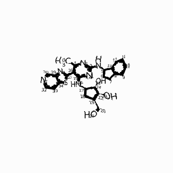 Cc1nc(N[C@@H]2CCc3ccccc32)nc(N[C@@H]2C[C@H](CO)[C@@H](O)[C@H]2O)c1-c1nc2cnccc2s1